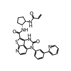 C=CC(=O)N[C@@H]1CCC[C@H]1NC(=O)c1sc2nccc3c2c1NC(=O)N3c1cccc(-c2ccccn2)c1